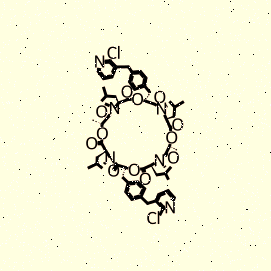 CC(C)C[C@H]1C(=O)O[C@H](Cc2ccc(Cc3cccnc3Cl)cc2)C(=O)N(C)[C@@H](CC(C)C)C(=O)O[C@H](C)C(=O)N(C)[C@@H](CC(C)C)C(=O)O[C@H](Cc2ccc(Cc3cccnc3Cl)cc2)C(=O)N(C)[C@@H](CC(C)C)C(=O)O[C@H](C)C(=O)N1C